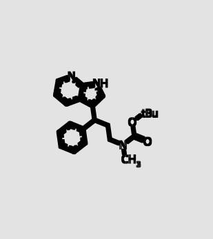 CN(CCC(c1ccccc1)c1c[nH]c2ncccc12)C(=O)OC(C)(C)C